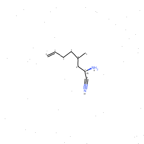 C=CCCC(C)C[C@@H](N)C#N